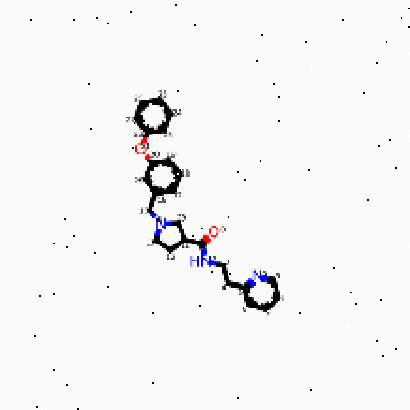 O=C(NCCc1ccccn1)C1CCN(Cc2cccc(Oc3ccccc3)c2)C1